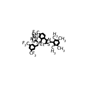 CCc1sc(-c2c(C)c(C)cc(C)c2C)nc1-c1ccc(C(F)(F)F)cc1CN(Cc1cc(C(F)(F)F)cc(C(F)(F)F)c1)c1nnn(C)n1